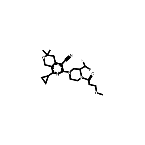 COCCC(=O)N1CCN(c2nc(C3CC3)c3c(c2C#N)CC(C)(C)OC3)CC1C(F)F